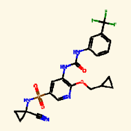 N#CC1(NS(=O)(=O)c2cnc(OCC3CC3)c(NC(=O)Nc3cccc(C(F)(F)F)c3)c2)CC1